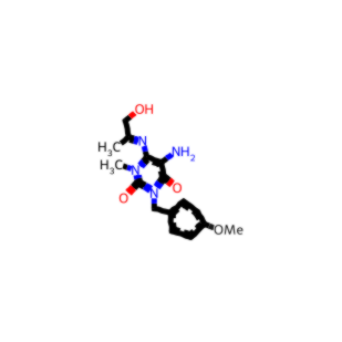 COc1ccc(Cn2c(=O)c(N)c(/N=C(\C)CO)n(C)c2=O)cc1